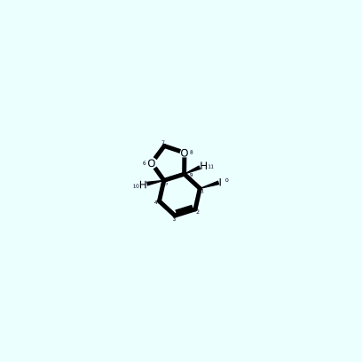 I[C@H]1C=CC[C@@H]2OCO[C@@H]21